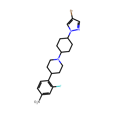 O=[N+]([O-])c1ccc(C2CCN(C3CCC(n4cc(Br)cn4)CC3)CC2)c(F)c1